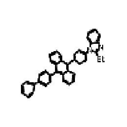 CCc1nc2ccccc2n1C1=CC=C(c2c3ccccc3c(-c3ccc(-c4ccccc4)cc3)c3ccccc23)CC1